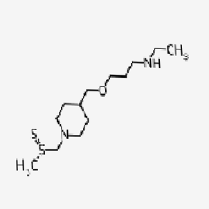 CCNCCCOCC1CCN(CS(C)=S)CC1